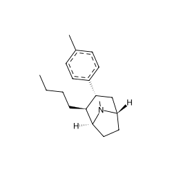 CCCC[C@H]1[C@H](c2ccc(C)cc2)C[C@@H]2CC[C@@H]1N2C